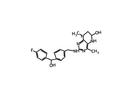 Cc1nc(NCc2ccc(C(O)c3ccc(F)cc3)cc2)nc2c1NC(O)CN2C